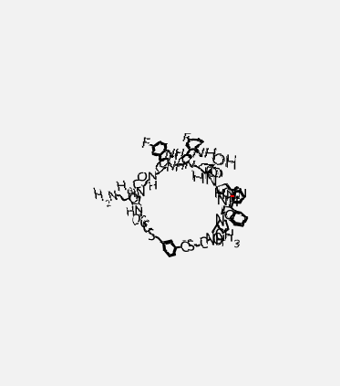 C[C@H]1NC(=O)[C@H](CCCCN)NC(=O)CCSCc2cccc(c2)CSCCNC(=O)[C@]2(C)CCCN2C(=O)[C@H](C(c2ccccc2)c2ccccc2)NC(=O)[C@H](Cc2cnc[nH]2)NC(=O)[C@H](CC(=O)O)NC(=O)[C@H](Cc2c[nH]c3ccc(F)cc23)NC(=O)[C@H](Cc2c[nH]c3ccc(F)cc23)NC1=O